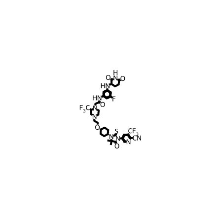 CC1(C)C(=O)N(c2cnc(C#N)c(C(F)(F)F)c2)C(=S)N1[C@H]1CC[C@H](OCCN2CCN(CC(=O)Nc3cc(F)cc(NC4CCC(=O)NC4=O)c3)C(C(F)(F)F)C2)CC1